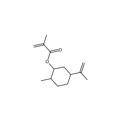 C=C(C)C(=O)OC1CC(C(=C)C)CCC1C